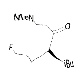 CC[C@H](C)C(CF)C(=O)NC